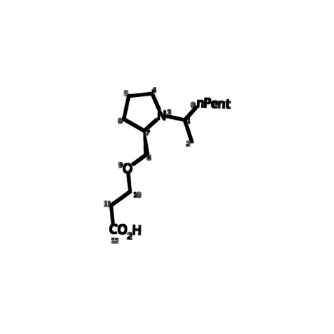 CCCCCC(C)N1CCC[C@@H]1COCCC(=O)O